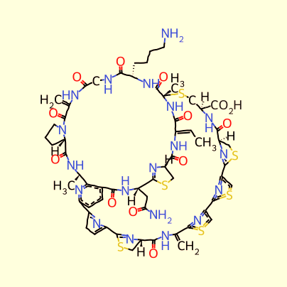 C=C1NC(=O)CNC(=O)[C@H](CCCCN)NC(=O)[C@@]2(C)NC(=O)/C(=C/C)NC(=O)[C@@H]3CSC(=N3)[C@H](CC(N)=O)NC(=O)c3ccc(nc3[C@@H](C)NC(=O)[C@@H]3CCCN3C1=O)C1=NC(=CC1)C1=N[C@@H](CS1)C(=O)NC(=C)c1nc(cs1)-c1nc(cs1)C1=N[C@H](CS1)C(=O)N[C@H](C(=O)O)CS2